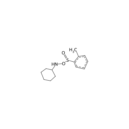 Cc1ccccc1S(=O)ONC1CCCCC1